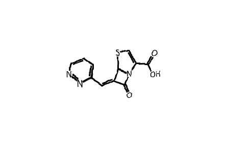 O=C(O)C1=CSC2C(=Cc3cccnn3)C(=O)N12